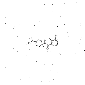 Cc1c(Cl)cccc1C(=O)NC1(C)CCN(C(C)S)CC1